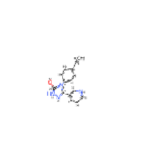 C#Cc1ccc(-n2c(-c3cccnc3)n[nH]c2=O)cc1